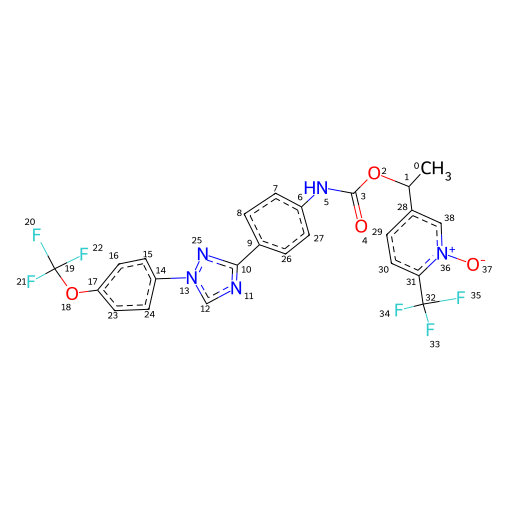 CC(OC(=O)Nc1ccc(-c2ncn(-c3ccc(OC(F)(F)F)cc3)n2)cc1)c1ccc(C(F)(F)F)[n+]([O-])c1